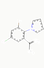 C=C(C)c1cc(Cl)cc(Br)c1-n1cccc1